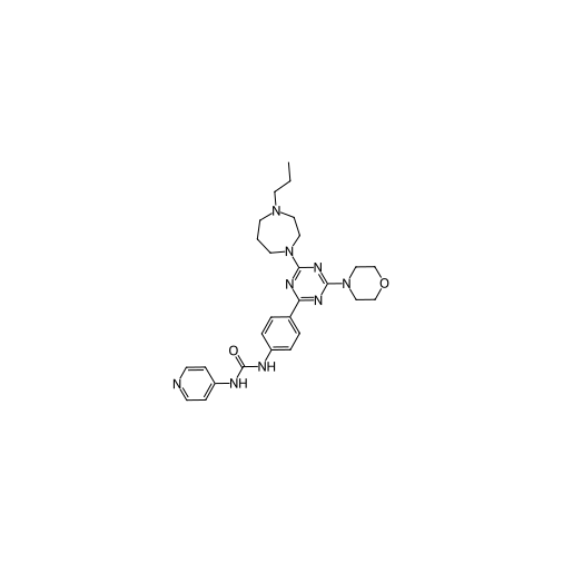 CCCN1CCCN(c2nc(-c3ccc(NC(=O)Nc4ccncc4)cc3)nc(N3CCOCC3)n2)CC1